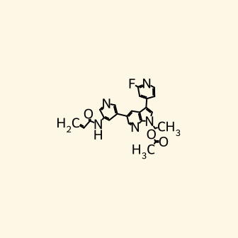 C=CC(=O)Nc1cncc(-c2cnc3c(c2)c(-c2ccnc(F)c2)cn3C(C)OC(C)=O)c1